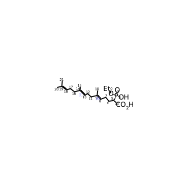 CCOP(=O)(O)C(CC/C=C(\C)CC/C=C(\C)CCC=C(C)C)C(=O)O